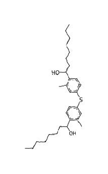 CCCCCCCC(O)c1ccc(Sc2ccc(C(O)CCCCCCC)c(C)c2)cc1C